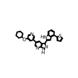 c1csc(-c2cccc3[nH]c(-c4n[nH]c5ncc(-c6cncc(OC7CCCCC7)c6)cc45)cc23)c1